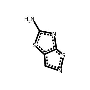 Nc1nc2sncc2s1